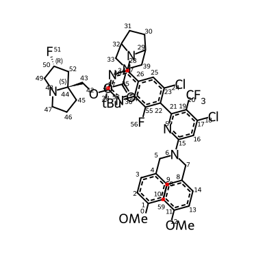 COc1ccc(CN(Cc2ccc(OC)cc2)c2cc(Cl)c(C(F)(F)F)c(-c3c(Cl)cc4c(N5C6CCC5CN(C(=O)OC(C)(C)C)C6)nc(OC[C@@]56CCCN5C[C@H](F)C6)nc4c3F)n2)cc1